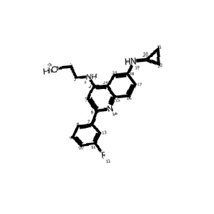 OCCNc1cc(-c2cccc(F)c2)nc2ccc(NC3CC3)cc12